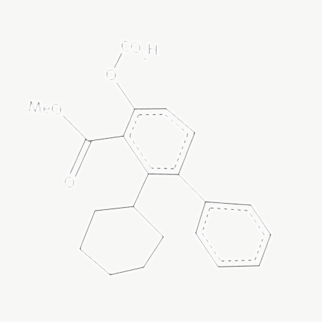 COC(=O)c1c(OC(=O)O)ccc(-c2ccccc2)c1C1CCCCC1